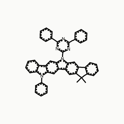 CC1(C)c2ccccc2-c2cc3c(cc21)c1cc2c(cc1n3-c1nc(-c3ccccc3)nc(-c3ccccc3)n1)c1ccccc1n2-c1ccccc1